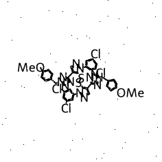 COc1ccc(Cn2nnc(-c3cnn(-c4cc(Cl)cc(Cl)c4)c3SSc3c(-c4nnn(Cc5ccc(OC)cc5)n4)cnn3-c3cc(Cl)cc(Cl)c3)n2)cc1